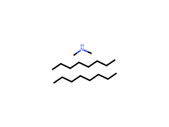 CCCCCCCC.CCCCCCCC.CNC